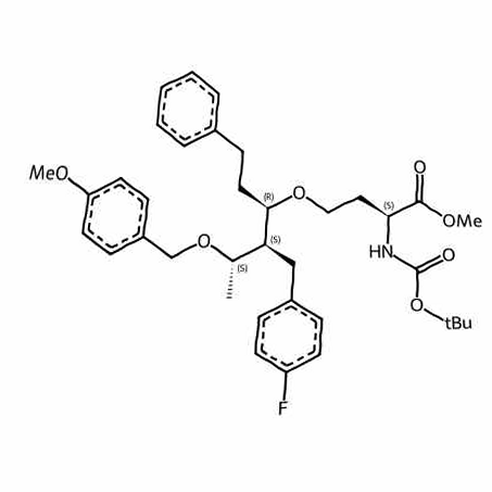 COC(=O)[C@H](CCO[C@H](CCc1ccccc1)[C@@H](Cc1ccc(F)cc1)[C@H](C)OCc1ccc(OC)cc1)NC(=O)OC(C)(C)C